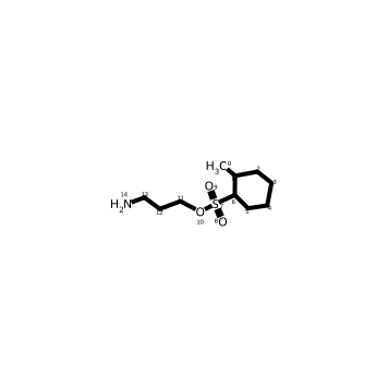 CC1CCCCC1S(=O)(=O)OCCCN